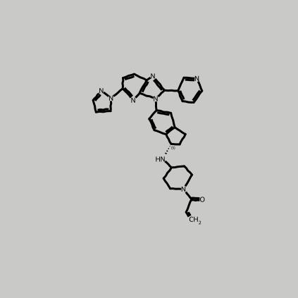 C=CC(=O)N1CCC(N[C@H]2CCc3cc(-n4c(-c5cccnc5)nc5ccc(-n6cccn6)nc54)ccc32)CC1